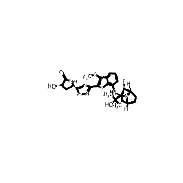 CC(C)(O)CN1[C@@H]2CC[C@H]1[C@H](F)[C@H](Nc1cccc3c(SC(F)(F)F)c(-c4noc([C@H]5C[C@H](O)C(=O)N5)n4)sc13)C2